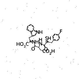 O=C(O)CC(NC(=O)[C@@H](S)Cc1ccc(F)cc1)C(=O)N[C@@H](Cc1c[nH]c2ccccc12)C(=O)O